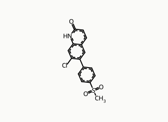 CS(=O)(=O)c1ccc(-c2cc3ccc(=O)[nH]c3cc2Cl)cc1